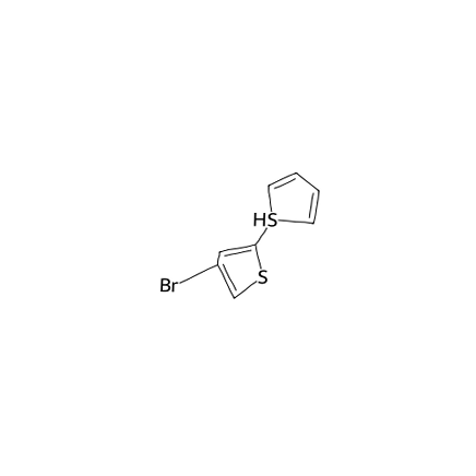 Brc1csc([SH]2C=CC=C2)c1